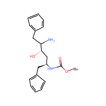 CC(C)(C)OC(=O)N[C@@H](Cc1ccccc1)C[C@H](O)C(N)Cc1ccccc1